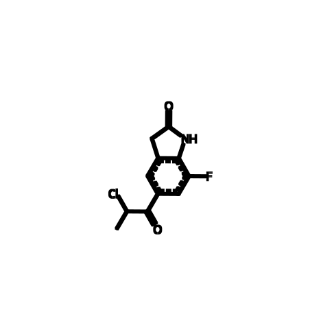 CC(Cl)C(=O)c1cc(F)c2c(c1)CC(=O)N2